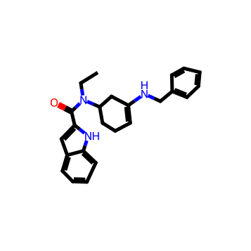 CCN(C(=O)c1cc2ccccc2[nH]1)C1CCC=C(NCc2ccccc2)C1